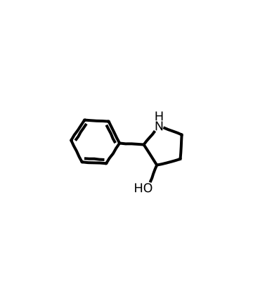 OC1CCNC1c1ccccc1